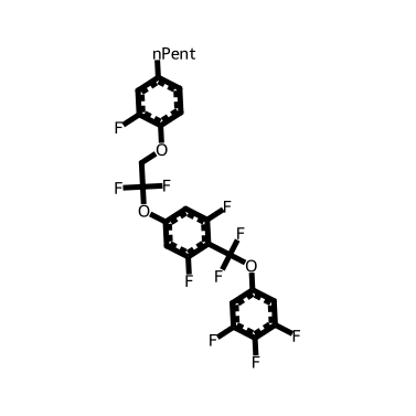 CCCCCc1ccc(OCC(F)(F)Oc2cc(F)c(C(F)(F)Oc3cc(F)c(F)c(F)c3)c(F)c2)c(F)c1